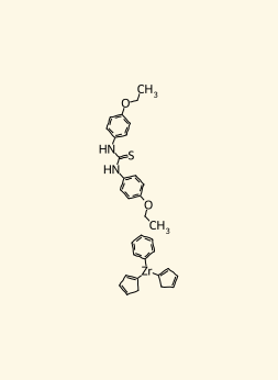 C1=CC[C]([Zr]([C]2=CC=CC2)[c]2ccccc2)=C1.CCOc1ccc(NC(=S)Nc2ccc(OCC)cc2)cc1